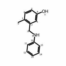 Cc1ccc(O)cc1CNc1ccccc1